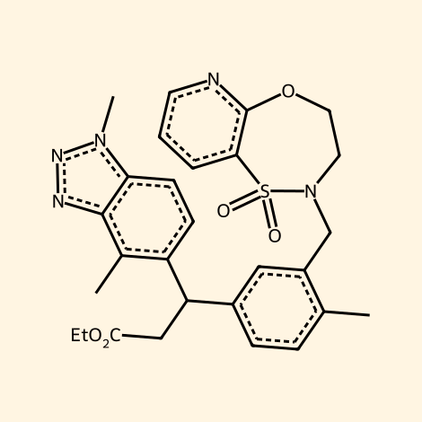 CCOC(=O)CC(c1ccc(C)c(CN2CCOc3ncccc3S2(=O)=O)c1)c1ccc2c(nnn2C)c1C